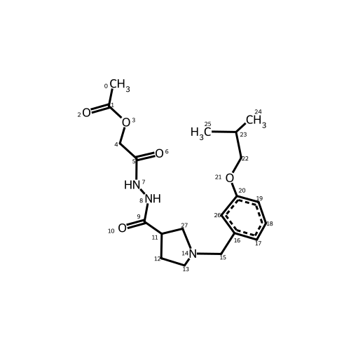 CC(=O)OCC(=O)NNC(=O)C1CCN(Cc2cccc(OCC(C)C)c2)C1